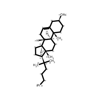 CC(=O)O[C@H]1CC[C@@]2(C)C(=CC[C@H]3[C@@H]4CC[C@H](C(C)(C)CCCC(C)C)[C@@]4(C)CC[C@@H]32)C1